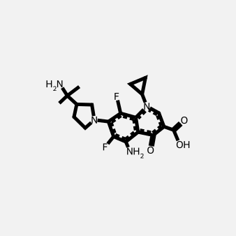 CC(C)(N)C1CCN(c2c(F)c(N)c3c(=O)c(C(=O)O)cn(C4CC4)c3c2F)C1